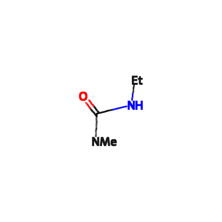 [CH2]CNC(=O)NC